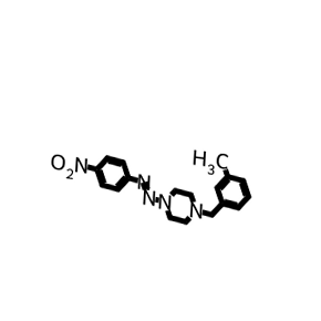 Cc1cccc(CN2CCN(N=Nc3ccc([N+](=O)[O-])cc3)CC2)c1